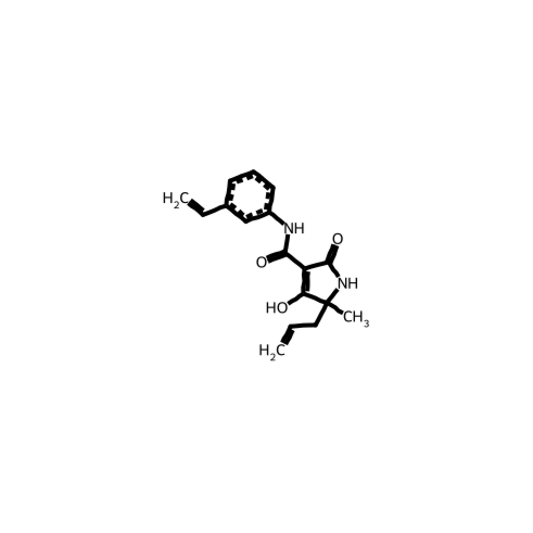 C=CCC1(C)NC(=O)C(C(=O)Nc2cccc(C=C)c2)=C1O